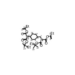 C=C(CC)OC(=O)N(CC1CCC(N(C(=O)OC(=C)CC)C(=O)OC(C)(C)CC)CC1)C(=O)OC(C)(C)CC